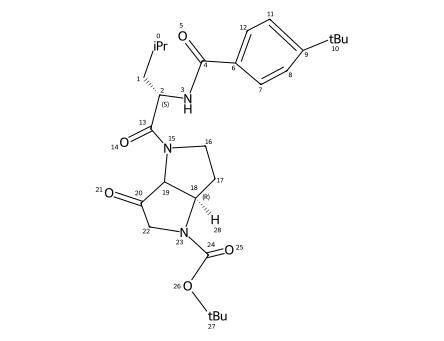 CC(C)C[C@H](NC(=O)c1ccc(C(C)(C)C)cc1)C(=O)N1CC[C@@H]2C1C(=O)CN2C(=O)OC(C)(C)C